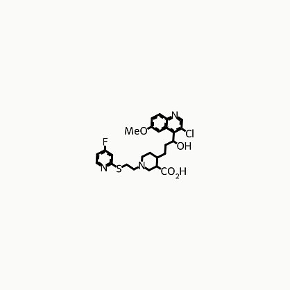 COc1ccc2ncc(Cl)c(C(O)CCC3CCN(CCSc4cc(F)ccn4)CC3C(=O)O)c2c1